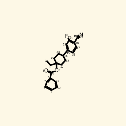 CCC1(OC(=O)c2ccccc2)CCC(c2ccc(C#N)c(F)c2)CC1